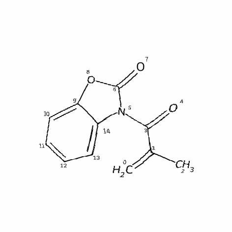 C=C(C)C(=O)n1c(=O)oc2ccccc21